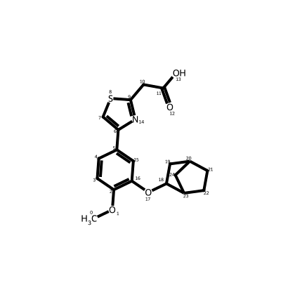 COc1ccc(-c2csc(CC(=O)O)n2)cc1OC1CC2CCC1C2